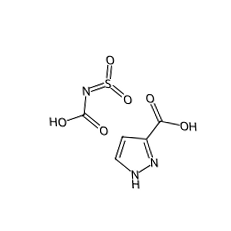 O=C(O)N=S(=O)=O.O=C(O)c1cc[nH]n1